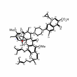 COC(=O)/C(C)=C\CC1(O)C(=O)C(C)C(N2CCN(c3cc4c(cc3F)c(=O)c(C(=O)O)cn4C3CC3)CC2)C2C(=O)c3c(OC)c4c(c(CC=C(C)C)c3OC21C(C)C(C)C)OC(C)(CCC=C(C)C)C=C4